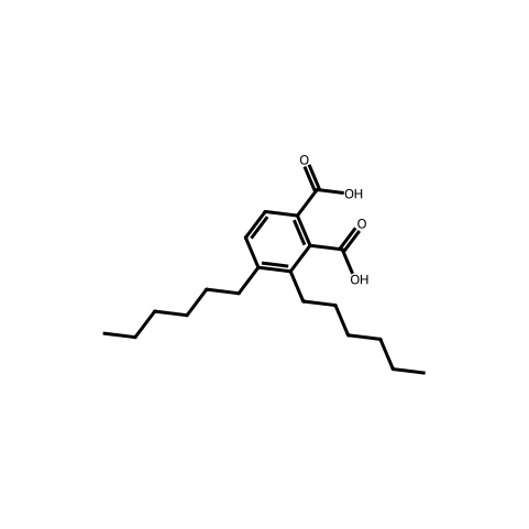 CCCCCCc1ccc(C(=O)O)c(C(=O)O)c1CCCCCC